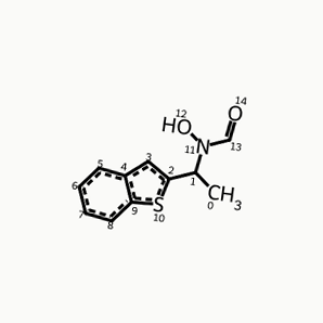 CC(c1cc2ccccc2s1)N(O)C=O